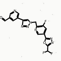 O=Cc1cncc(-c2cn(Cc3ncc(-c4nnc(C(F)F)o4)cc3F)nn2)c1